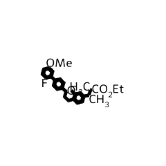 CCOC(=O)C(C)C(C)c1ccc2c(c1)OC(c1ccc(-c3cc(OC)ccc3F)cc1)CC2